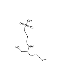 CSCCC(CO)NCCCS(=O)(=O)O